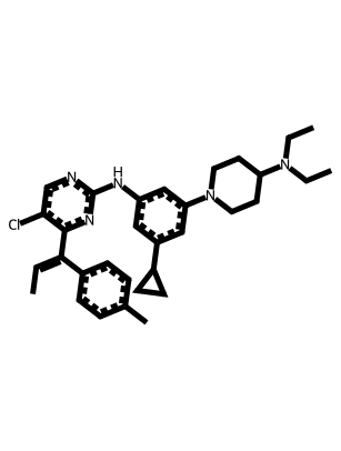 C/C=C(\c1ccc(C)cc1)c1nc(Nc2cc(C3CC3)cc(N3CCC(N(CC)CC)CC3)c2)ncc1Cl